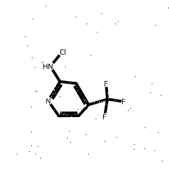 FC(F)(F)c1ccnc(NCl)c1